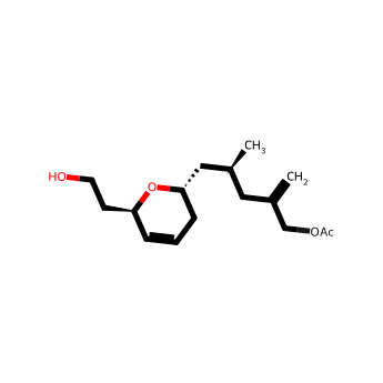 C=C(COC(C)=O)C[C@H](C)C[C@@H]1CC=C[C@@H](CCO)O1